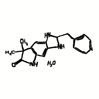 CC1(C)C(=O)Nc2cc3c(cc21)NC(Cc1ccncc1)N3.O